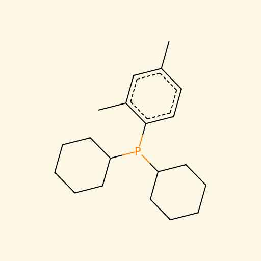 Cc1ccc(P(C2CCCCC2)C2CCCCC2)c(C)c1